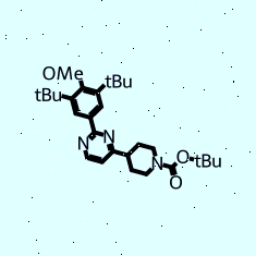 COc1c(C(C)(C)C)cc(-c2nccc(C3CCN(C(=O)OC(C)(C)C)CC3)n2)cc1C(C)(C)C